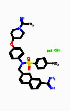 CC(=N)N1CCC(Oc2ccc(N(Cc3ccc4ccc(C(=N)N)cc4c3)S(=O)(=O)c3ccc([N+](=O)[O-])cc3)cc2)CC1.Cl.Cl